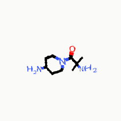 CC(C)(N)C(=O)N1CCC(N)CC1